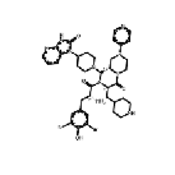 N[C@H](Cc1cc(Br)c(O)c(Br)c1)C(=O)N(C(=O)N1CCC(n2c(=O)[nH]c3ncccc32)CC1)[C@H](CC1CCNCC1)C(=O)N1CCN(c2ccncc2)CC1